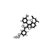 C=C1C=C(C)c2ccc3oc(C(=O)c4cccc(OCCCC)c4)c(-c4cccc(Br)c4)c3c2O1